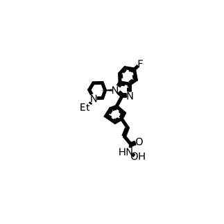 CCN1CCC[C@@H](n2c(-c3cccc(C=CC(=O)NO)c3)nc3cc(F)ccc32)C1